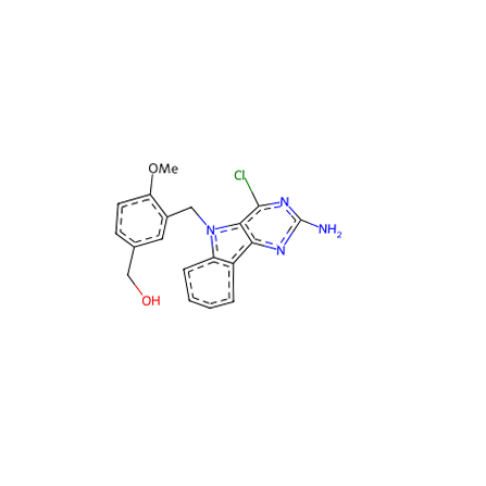 COc1ccc(CO)cc1Cn1c2ccccc2c2nc(N)nc(Cl)c21